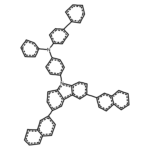 c1ccc(-c2ccc(N(c3ccccc3)c3ccc(-n4c5ccc(-c6ccc7ccccc7c6)cc5c5cc(-c6ccc7ccccc7c6)ccc54)cc3)cc2)cc1